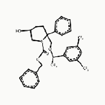 C[C@@H](OCC1(c2ccccc2)CCC(O)CN1C(=O)OCc1ccccc1)c1cc(C(F)(F)F)cc(C(F)(F)F)c1